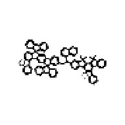 CC1(C)c2cc(C(Cc3ccc4c(c3)C3(c5ccccc5-c5ccccc53)c3cc5c(cc3-4)C3(c4ccccc4-c4ccccc43)c3ccc4oc6ccccc6c4c3-5)c3cccc4ccccc34)ccc2-c2c1c1c(c3c2oc2ccccc23)-c2ccccc2C1(C)C